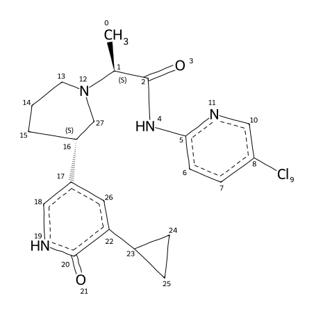 C[C@@H](C(=O)Nc1ccc(Cl)cn1)N1CCC[C@@H](c2c[nH]c(=O)c(C3CC3)c2)C1